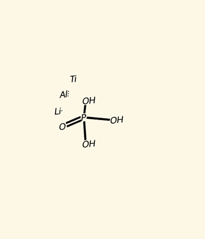 O=P(O)(O)O.[Al].[Li].[Ti]